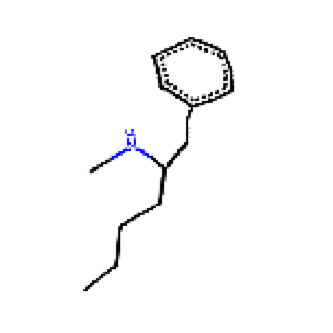 CCCCC(Cc1ccccc1)NC